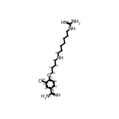 N=C(N)NCCCCCCCNCCCCOc1ccc(C(=N)N)cc1Cl